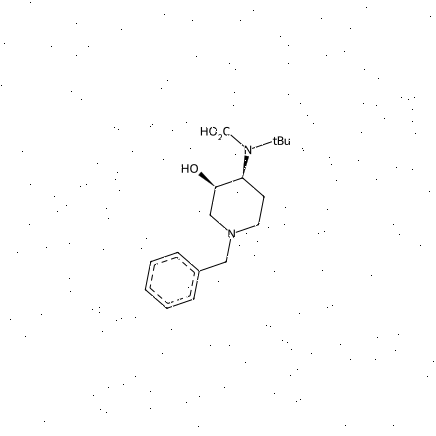 CC(C)(C)N(C(=O)O)[C@H]1CCN(Cc2ccccc2)C[C@H]1O